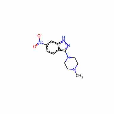 CN1CCN(c2n[nH]c3cc([N+](=O)[O-])ccc23)CC1